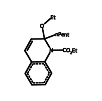 CCCCCC1(OCC)C=Cc2ccccc2N1C(=O)OCC